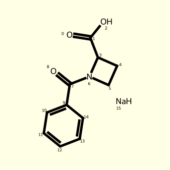 O=C(O)C1CCN1C(=O)c1ccccc1.[NaH]